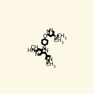 CNc1cc2c(cn1)c(-c1cnn(C)c1)nn2[C@H]1CC[C@@H](Oc2cc(N(C)C)cnn2)CC1